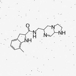 Cc1cccc2c1NC(C(=O)NCC1CN3CCNC3C=N1)C2